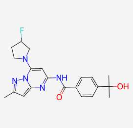 Cc1cc2nc(NC(=O)c3ccc(C(C)(C)O)cc3)cc(N3CCC(F)C3)n2n1